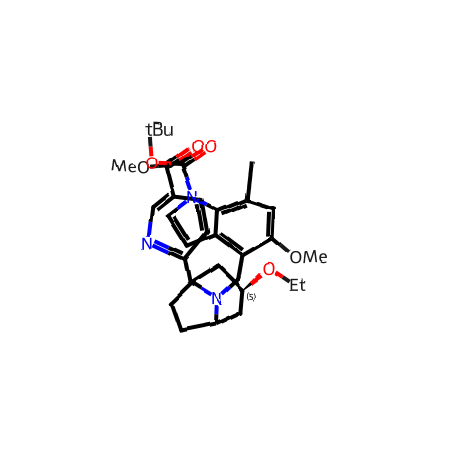 CCO[C@H]1CC2CCC(c3ccc(C(=O)OC)cn3)(C1)N2Cc1c(OC)cc(C)c2c1ccn2C(=O)OC(C)(C)C